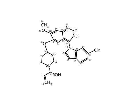 C=CC(O)N1CCC(Oc2cc3c(-n4ccc5ccc(Cl)cc54)ncnc3cc2OC)CC1